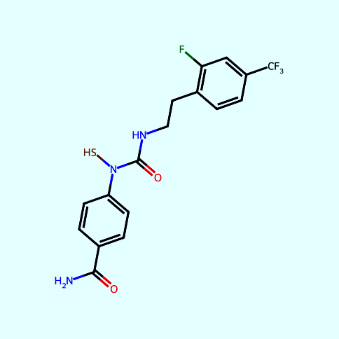 NC(=O)c1ccc(N(S)C(=O)NCCc2ccc(C(F)(F)F)cc2F)cc1